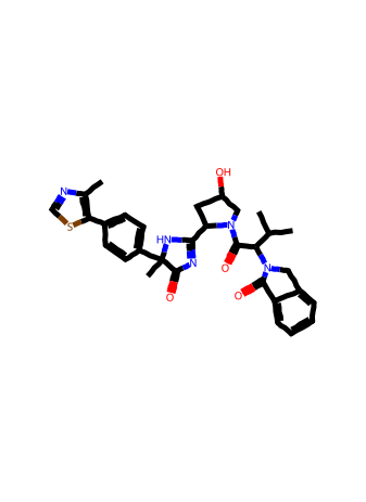 Cc1ncsc1-c1ccc(C2(C)NC(C3CC(O)CN3C(=O)C(C(C)C)N3Cc4ccccc4C3=O)=NC2=O)cc1